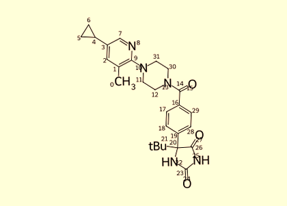 Cc1cc(C2CC2)cnc1N1CCN(C(=O)c2ccc(C3(C(C)(C)C)NC(=O)NC3=O)cc2)CC1